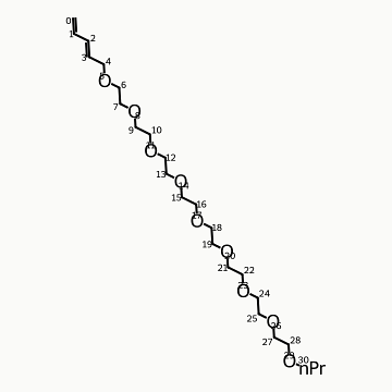 C=C/C=C/COCCOCCOCCOCCOCCOCCOCCOCCOCCC